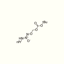 CCCN/[N+]([O-])=N/OCOC(=O)OC(C)(C)C